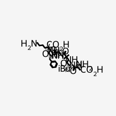 CC[C@H](C)[C@H](NC(=O)[C@@H](N)CC(=O)O)C(=O)NC(C)(C)C(=O)N[C@@H](C)C(=O)N[C@@H](Cc1ccccc1)C(=O)N[C@@H](CCCCN)C(=O)O